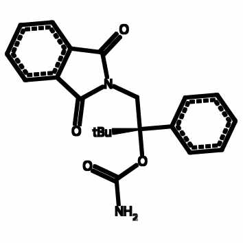 CC(C)(C)[C@](CN1C(=O)c2ccccc2C1=O)(OC(N)=O)c1ccccc1